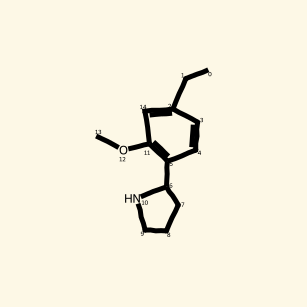 CCc1ccc(C2CCCN2)c(OC)c1